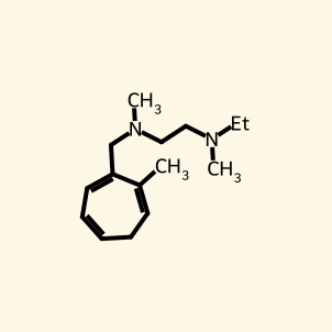 CCN(C)CCN(C)CC1=CC=CCC=C1C